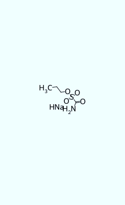 CCCOS(=O)(=O)C(N)=O.[NaH]